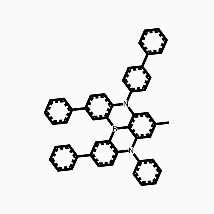 Cc1cc2c3c(c1)N(c1ccc(-c4ccccc4)cc1)c1ccc(-c4ccccc4)cc1B3c1cc(-c3ccccc3)ccc1N2c1ccccc1